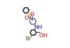 O=S(=O)(c1ccccc1)N1CCC(Nc2ccc(Br)cc2CO)CC1